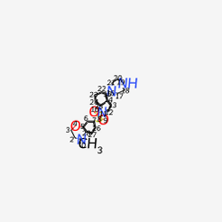 CN1CCOc2cc(S(=O)(=O)n3ccc4c(N5CCNCC5)cccc43)ccc21